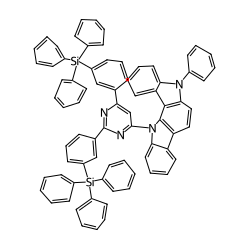 c1ccc(-n2c3ccccc3c3c2ccc2c4ccccc4n(-c4cc(-c5cccc([Si](c6ccccc6)(c6ccccc6)c6ccccc6)c5)nc(-c5cccc([Si](c6ccccc6)(c6ccccc6)c6ccccc6)c5)n4)c23)cc1